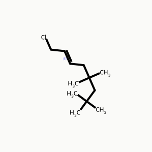 CC(C)(C)CC(C)(C)C/C=C/CCl